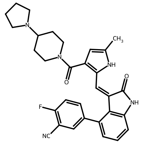 Cc1cc(C(=O)N2CCC(N3CCCC3)CC2)c(/C=C2\C(=O)Nc3cccc(-c4ccc(F)c(C#N)c4)c32)[nH]1